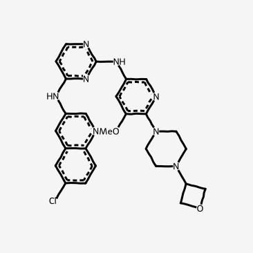 COc1cc(Nc2nccc(Nc3cnc4ccc(Cl)cc4c3)n2)cnc1N1CCN(C2COC2)CC1